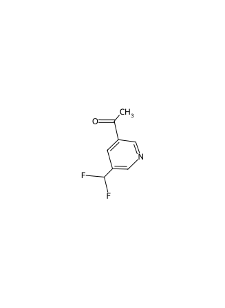 CC(=O)c1cncc(C(F)F)c1